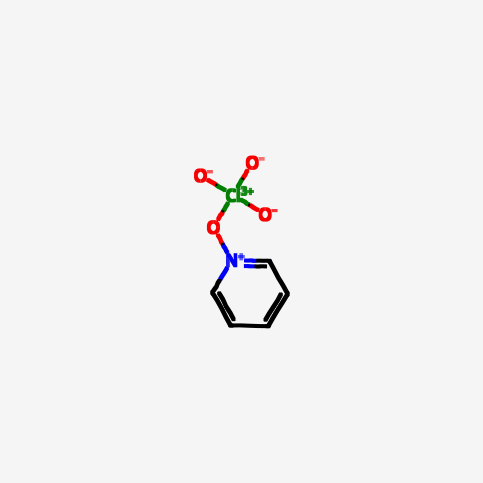 [O-][Cl+3]([O-])([O-])O[n+]1ccccc1